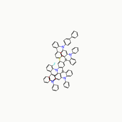 Fc1cccc(-c2ccccc2)c1N1c2cc3c(cc2B2c4ccccc4N(c4ccccc4)c4cc(N(c5ccccc5)c5ccccc5)cc1c42)B1c2ccccc2N(c2ccccc2)c2cc(N(c4ccc(-c5ccccc5)cc4)c4ccccc4-c4ccccc4)cc(c21)S3